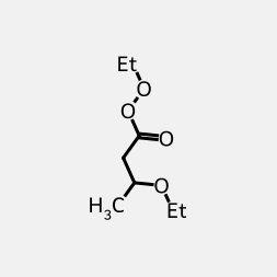 CCOOC(=O)CC(C)OCC